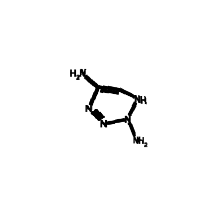 NC1=CNN(N)N=N1